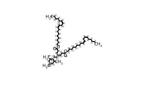 CCCCC/C=C\C/C=C\CCCCCCCCOC(=O)CCN(CCC(=O)OCCCCCCCC/C=C\C/C=C\CCCCC)CCN1C(C)CN(C)CC1C